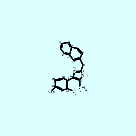 Cc1[nH]c(Cc2ccc3ccccc3c2)nc1-c1ccc(Cl)cc1Cl